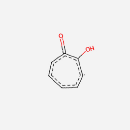 O=c1cccc[c]c1O